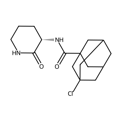 O=C1NCCC[C@@H]1NC(=O)C12CC3CC(CC(Cl)(C3)C1)C2